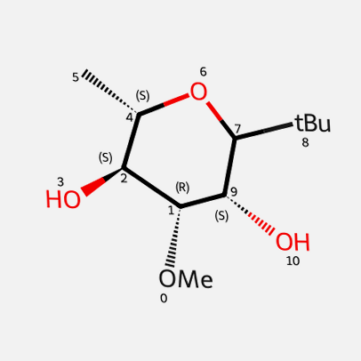 CO[C@@H]1[C@@H](O)[C@H](C)OC(C(C)(C)C)[C@@H]1O